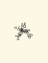 CC(C)CN(C[C@@H](O)[C@H](Cc1cc(F)c(F)c(F)c1)NC(=O)OCC1CC2CC3C(OCC13)O2)S(=O)(=O)c1ccc2nc(NC3CC3)sc2c1